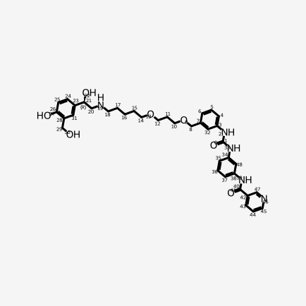 O=C(Nc1cccc(COCCCOCCCCCNC[C@H](O)c2ccc(O)c(CO)c2)c1)Nc1cccc(NC(=O)c2cccnc2)c1